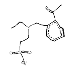 C=C(C)c1ccccc1CN(CC)CCS(=O)(=O)O